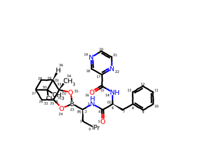 CC(C)C[C@H](NC(=O)[C@H](Cc1ccccc1)NC(=O)c1cnccn1)B1OC2CC3C[C@@H](C3(C)C)[C@]2(C)O1